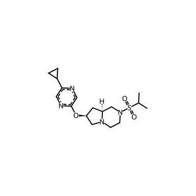 CC(C)S(=O)(=O)N1CCN2C[C@@H](Oc3cnc(C4CC4)cn3)C[C@H]2C1